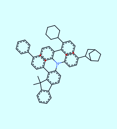 CC1(C)c2ccccc2-c2ccc(N(c3ccc(C4CC5CCC4C5)cc3)c3ccccc3-c3ccccc3C3CCCCC3)c(-c3ccc(-c4ccccc4)cc3)c21